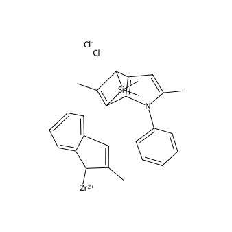 CC1=C2c3c(cc(C)n3-c3ccccc3)C1[Si]2(C)C.CC1=Cc2ccccc2[CH]1[Zr+2].[Cl-].[Cl-]